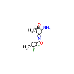 Cc1ccc(C(=O)N2CC3(C=C(N)C(=O)C(C)(C)C3)C2)c(F)c1F